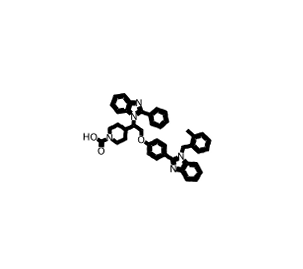 Cc1ccccc1Cn1c(-c2ccc(OCC(C3CCN(C(=O)O)CC3)n3c(-c4ccccc4)nc4ccccc43)cc2)nc2ccccc21